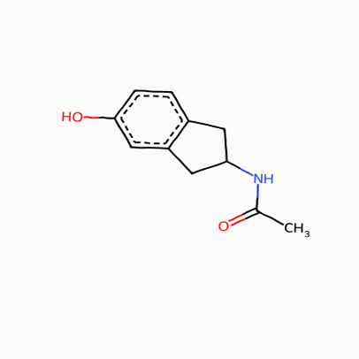 CC(=O)NC1Cc2ccc(O)cc2C1